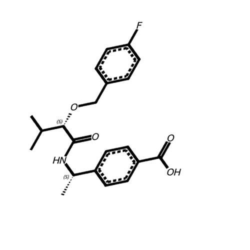 CC(C)[C@H](OCc1ccc(F)cc1)C(=O)N[C@@H](C)c1ccc(C(=O)O)cc1